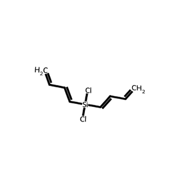 C=CC=C[Si](Cl)(Cl)C=CC=C